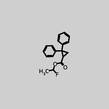 CC(F)OC(=O)C1CC1(c1ccccc1)c1ccccc1